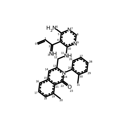 C=CC(=N)c1c(N)ncnc1NCc1cc2cccc(C)c2c(=O)n1-c1ccccc1C